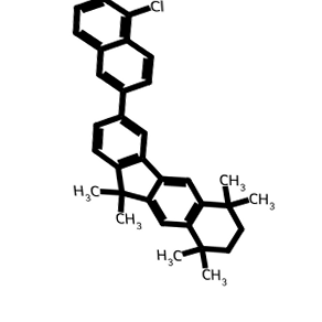 CC1(C)CCC(C)(C)c2cc3c(cc21)-c1cc(-c2ccc4c(Cl)cccc4c2)ccc1C3(C)C